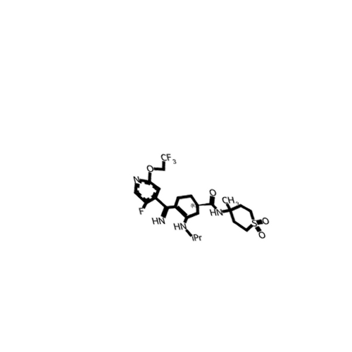 CC(C)NC1=C(C(=N)c2cc(OCC(F)(F)F)ncc2F)CC[C@@H](C(=O)NC2(C)CCS(=O)(=O)CC2)C1